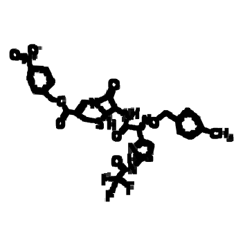 Cc1ccc(CON=C(C(=O)NC2C(=O)N3C=C(C(=O)OCc4ccc([N+](=O)[O-])cc4)CS[C@H]23)c2csc(NC(=O)C(F)(F)F)n2)cc1